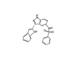 O=S(=O)(Nc1ccc2[nH]nc(-c3cc4ccccc4[nH]3)c2c1)c1ccccc1